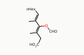 CCCCCC/C=C(C)/C(OC=O)=C(\C)CC(=O)O